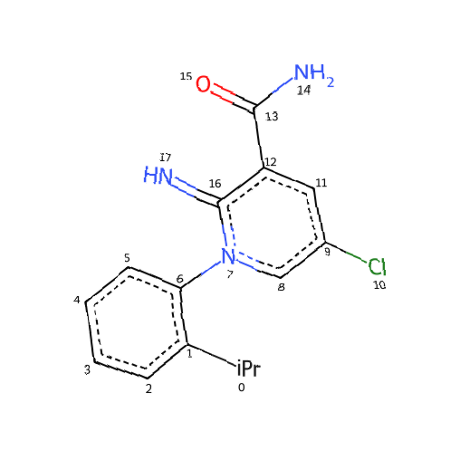 CC(C)c1ccccc1-n1cc(Cl)cc(C(N)=O)c1=N